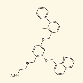 CC(=O)NCCNCc1ccc(OCc2cccc(-c3ccccc3)c2C)cc1OCc1cccc2cccnc12